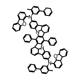 Cc1ccc(-c2ccccc2)cc1N(C1=CC=CC2C1OC1C=CC=CC12)c1ccc2c(c1)C1=CC=CC3c4c(-c5ccccc5)c5c(c(-c6ccccc6)c4N2C13)C1C=CC=C2c3cc(N(c4cc(C6=CC=CCC6)ccc4C)c4cccc6c4oc4ccccc46)ccc3N5C21